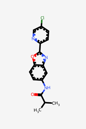 CC(C)C(=O)Nc1ccc2oc(-c3ccc(Cl)cn3)nc2c1